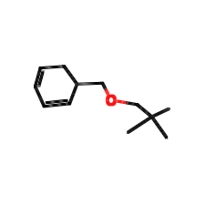 CC(C)(C)COCC1C=CC=CC1